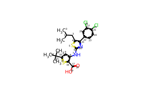 CC(C)Cc1sc(Nc2cc(C(C)(C)C)sc2C(=O)O)nc1-c1ccc(Cl)c(Cl)c1